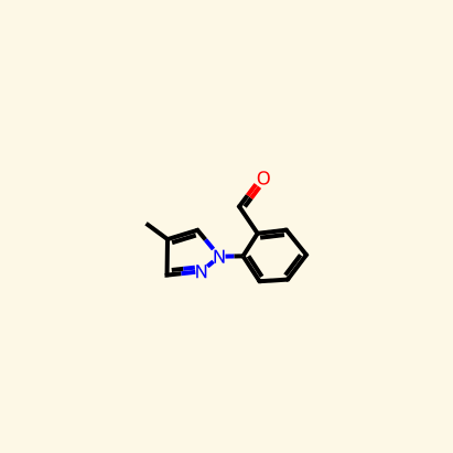 Cc1cnn(-c2ccccc2C=O)c1